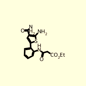 CCOC(=O)CC(=O)Nc1ccccc1-c1cc(C(N)=O)c(N)s1